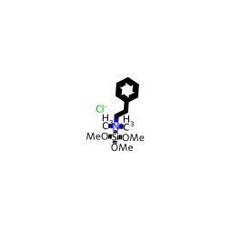 CO[Si](OC)(OC)[N+](C)(C)CCc1ccccc1.[Cl-]